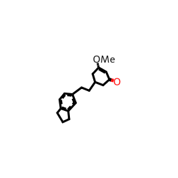 COC1=CC(=O)CC(CCc2ccc3c(c2)CCC3)C1